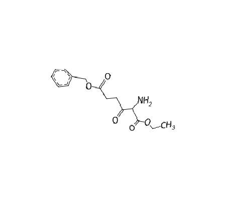 CCOC(=O)C(N)C(=O)CCC(=O)OCc1ccccc1